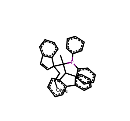 COCCC1(C(C)(C2c3ccccc3-c3ccccc32)P(c2ccccc2)c2ccccc2)C=Cc2ccccc21